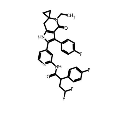 CCN1C(=O)c2c([nH]c(-c3ccnc(NC(=O)C(CC(F)F)c4ccc(F)cc4)c3)c2-c2ccc(F)cc2)CC12CC2